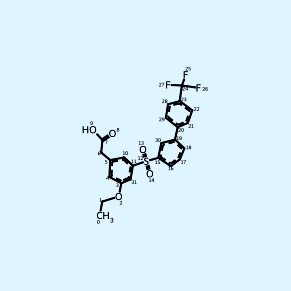 CCOc1cc(CC(=O)O)cc(S(=O)(=O)c2cccc(-c3ccc(C(F)(F)F)cc3)c2)c1